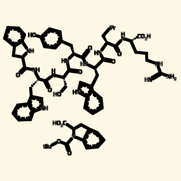 CC(C)(C)OC(=O)N1c2ccccc2CC1C(=O)O.CC(C)C[C@H](NC(=O)[C@@H](Cc1c[nH]c2ccccc12)NC(=O)[C@H](Cc1ccc(O)cc1)NC(=O)[C@H](CO)NC(=O)[C@H](Cc1c[nH]c2ccccc12)NC(=O)C1Cc2ccccc2N1)C(=O)N[C@@H](CCCNC(=N)N)C(=O)O